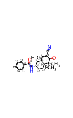 CC1(C)C(=O)C(C#N)=C[C@]2(C)C[C@@H](NC(=O)c3ccccc3)CC[C@@H]12